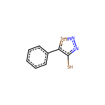 Sc1nnsc1-c1ccccc1